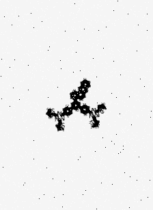 c1csc(-c2nc(-c3ccc(-c4cc(-c5ccc(-c6nc(-c7cccs7)nc(-c7cccs7)n6)cc5)cc(-c5cccc6c5ccc5cc7ccccc7cc56)c4)cc3)nc(-c3cccs3)n2)c1